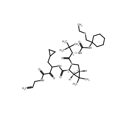 C=CCNC(=O)C(=O)C(CC1CC1)NC(=O)[C@@H]1[C@@H]2[C@H](CN1C(=O)[C@@H](NC(=O)NC1(CSCC)CCCCC1)C(C)(C)C)C2(C)C